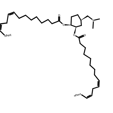 CCCCC/C=C\C/C=C\CCCCCCCC(=O)O[C@H]1CC[C@@H](CN(C)C)C[C@H]1OC(=O)CCCCCCC/C=C\C/C=C\CCCCC